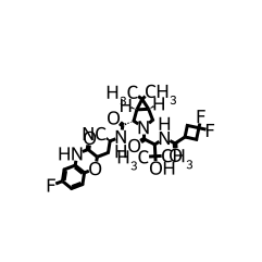 CC(C)(O)C(NC(=O)C1CC(F)(F)C1)C(=O)N1C[C@H]2[C@@H]([C@H]1C(=O)N[C@H](C#N)CC1Oc3ccc(F)cc3NC1=O)C2(C)C